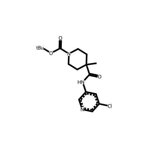 CC(C)(C)OC(=O)N1CCC(C)(C(=O)Nc2cncc(Cl)c2)CC1